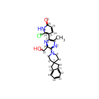 Cc1nc(N2CCC3(CC2)Cc2ccccc2C3)c(CO)nc1-c1ccc(=O)[nH]c1Cl